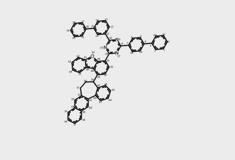 c1ccc(-c2ccc(-c3nc(-c4cccc(-c5ccccc5)c4)nc(-c4ccc(C5CCc6cc7ccccc7cc6-c6ccccc65)c5c4oc4ccccc45)n3)cc2)cc1